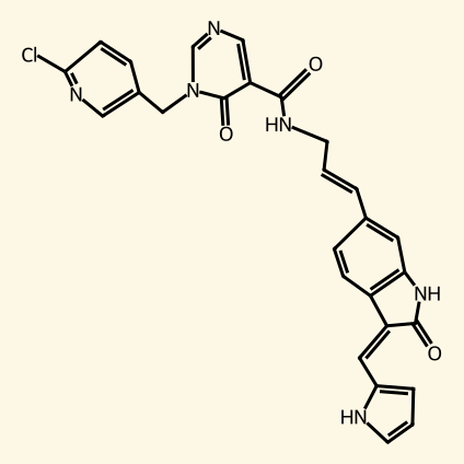 O=C1Nc2cc(/C=C/CNC(=O)c3cncn(Cc4ccc(Cl)nc4)c3=O)ccc2/C1=C/c1ccc[nH]1